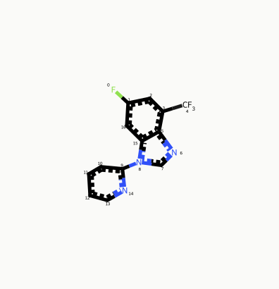 Fc1cc(C(F)(F)F)c2ncn(-c3ccccn3)c2c1